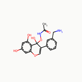 CC(=O)NOC1(O)C(c2cccc(CN)c2)=COc2cc(O)cc(O)c21